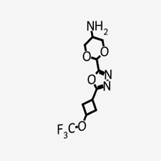 NC1COC(c2nnc(C3CC(OC(F)(F)F)C3)o2)OC1